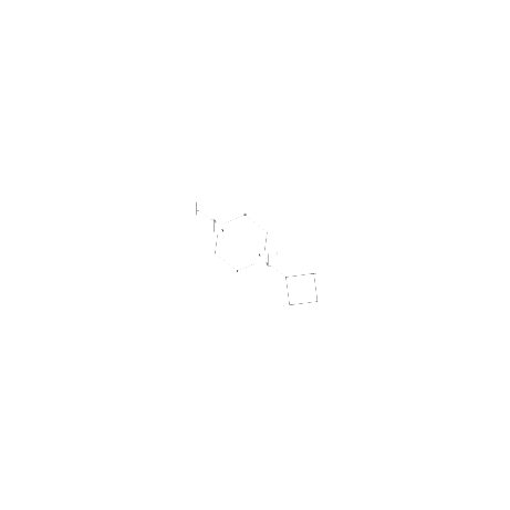 IN1CCN(C2CCC2)CC1